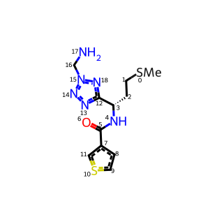 CSCC[C@H](NC(=O)c1ccsc1)c1nnn(CN)n1